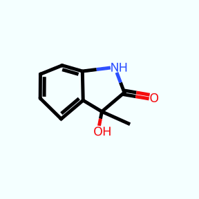 CC1(O)C(=O)Nc2ccccc21